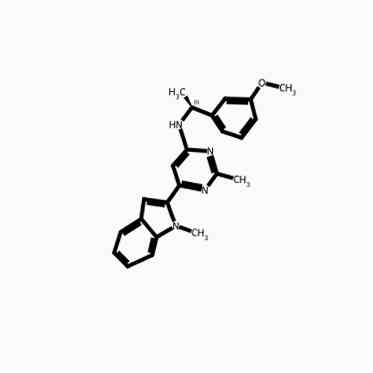 COc1cccc([C@H](C)Nc2cc(-c3cc4ccccc4n3C)nc(C)n2)c1